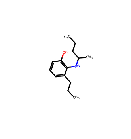 CCCc1cccc(O)c1NC(C)CCC